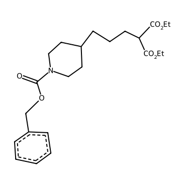 CCOC(=O)C(CCCC1CCN(C(=O)OCc2ccccc2)CC1)C(=O)OCC